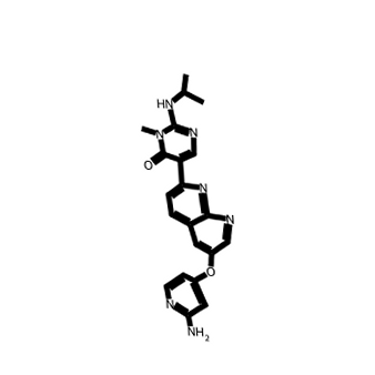 CC(C)Nc1ncc(-c2ccc3cc(Oc4ccnc(N)c4)cnc3n2)c(=O)n1C